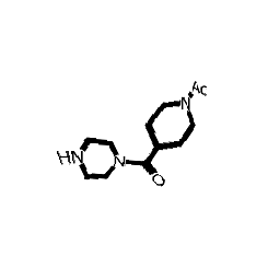 CC(=O)N1CCC(C(=O)N2CCNCC2)CC1